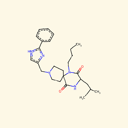 CCCCN1C(=O)C(CC(C)C)NC(=O)C12CCN(Cc1c[nH]c(-c3ccccc3)n1)CC2